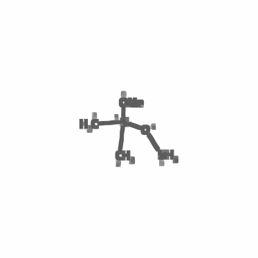 CO[Si](C)(C)O[SiH3]